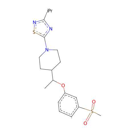 CC(C)c1nsc(N2CCC(C(C)Oc3cc[c]c(S(C)(=O)=O)c3)CC2)n1